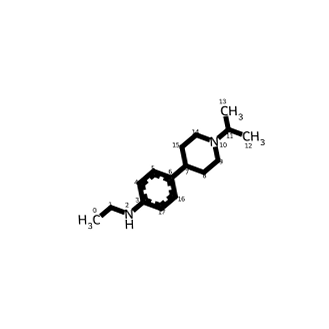 CCNc1ccc(C2CCN(C(C)C)CC2)cc1